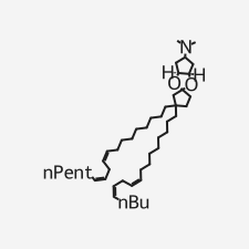 CCCC/C=C\C/C=C\CCCCCCCCC1(CCCCCCCC/C=C\C/C=C\CCCCC)CCC2(C1)O[C@H]1CC(N(C)C)C[C@@H]1O2